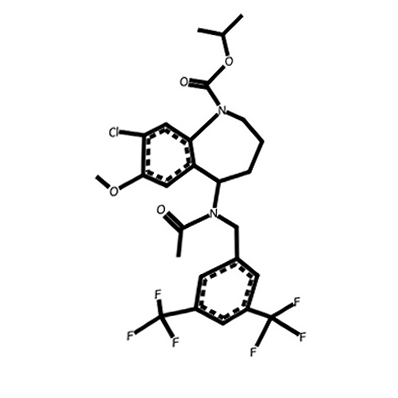 COc1cc2c(cc1Cl)N(C(=O)OC(C)C)CCCC2N(Cc1cc(C(F)(F)F)cc(C(F)(F)F)c1)C(C)=O